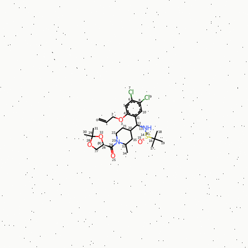 C=CCOc1cc(Cl)c(Cl)cc1C(N[S@@+]([O-])C(C)(C)C)C1CCN(C(=O)[C@H]2COC(C)(C)O2)C(C)C1